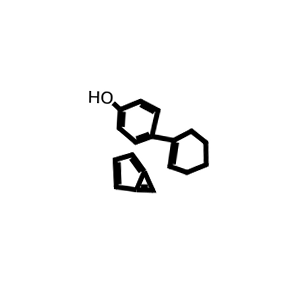 Oc1ccc(C2=CCCCC2)cc1.c1cc2cc-2c1